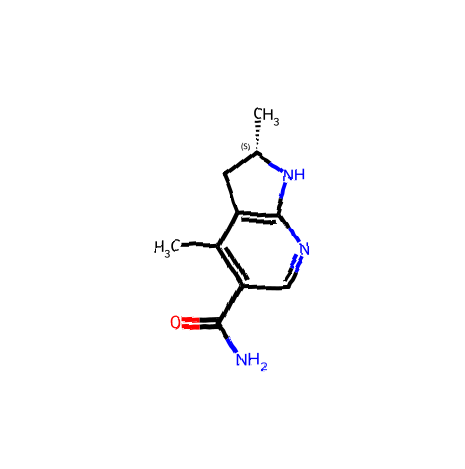 Cc1c(C(N)=O)cnc2c1C[C@H](C)N2